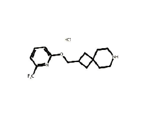 Cl.FC(F)(F)c1cccc(OCC2CC3(CCNCC3)C2)n1